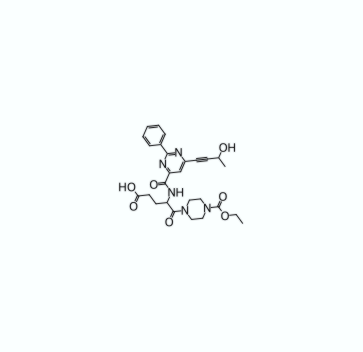 CCOC(=O)N1CCN(C(=O)C(CCC(=O)O)NC(=O)c2cc(C#CC(C)O)nc(-c3ccccc3)n2)CC1